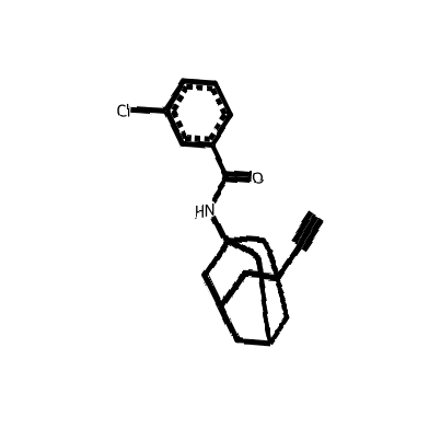 C#CC12CC3CC(C1)CC(NC(=O)c1cccc(Cl)c1)(C3)C2